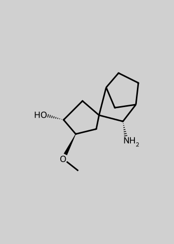 CO[C@@H]1CC2(C[C@H]1O)C1CCC(C1)[C@@H]2N